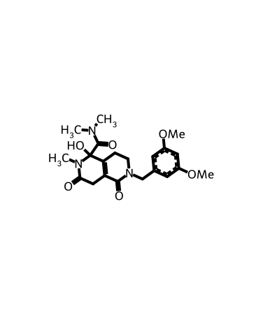 COc1cc(CN2CCC3=C(CC(=O)N(C)C3(O)C(=O)N(C)C)C2=O)cc(OC)c1